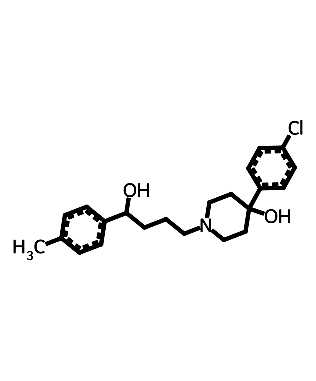 Cc1ccc(C(O)CCCN2CCC(O)(c3ccc(Cl)cc3)CC2)cc1